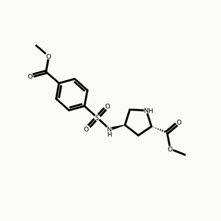 COC(=O)c1ccc(S(=O)(=O)N[C@H]2CN[C@H](C(=O)OC)C2)cc1